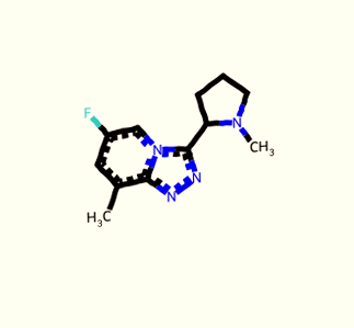 Cc1cc(F)cn2c(C3CCCN3C)nnc12